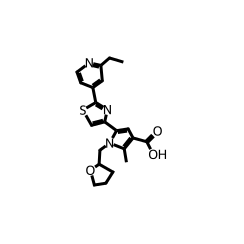 CCc1cc(-c2nc(-c3cc(C(=O)O)c(C)n3CC3CCCO3)cs2)ccn1